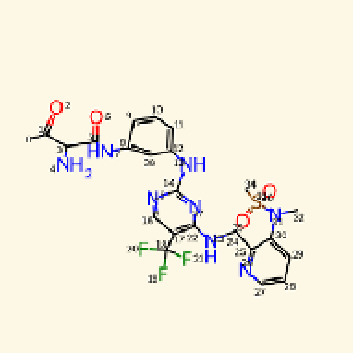 CC(=O)C(N)C(=O)Nc1cccc(Nc2ncc(C(F)(F)F)c(NCc3ncccc3N(C)S(C)(=O)=O)n2)c1